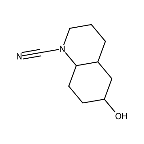 N#CN1CCCC2CC(O)CCC21